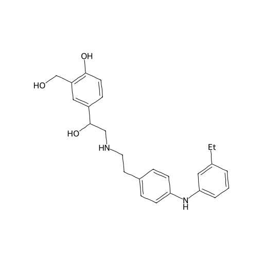 CCc1cccc(Nc2ccc(CCNCC(O)c3ccc(O)c(CO)c3)cc2)c1